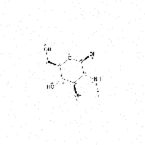 OC[C@H]1O[C@@H](O)[C@H](NF)[C@@H](O)[C@@H]1O